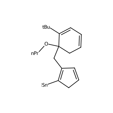 CCCOC1(CC2=[C]([Sn])CC=C2)CC=CC=C1C(C)(C)C